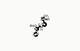 COc1nn(-c2cnccn2)cc1C(=O)Nc1cccc(-c2nnc(C)n2C(C)C)n1